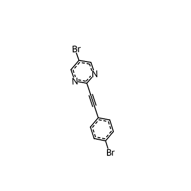 Brc1ccc(C#Cc2ncc(Br)cn2)cc1